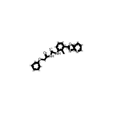 Cc1c(NC(=S)NC(=O)COc2ccccc2)cccc1-c1nc2ncccc2o1